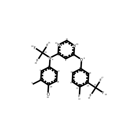 Cc1cc(N(c2cc(Oc3ccc(F)c(C(F)(F)F)c3)ncn2)C(F)(F)F)ccc1Cl